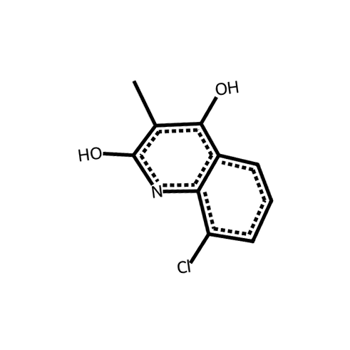 Cc1c(O)nc2c(Cl)cccc2c1O